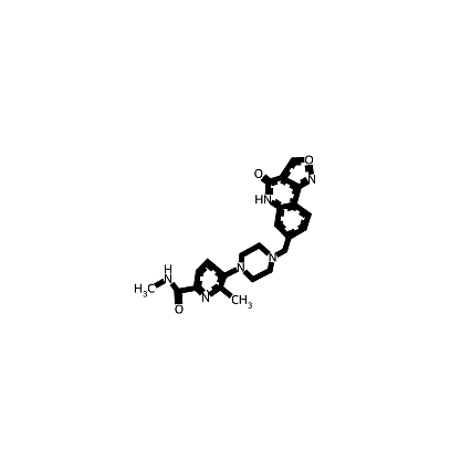 CNC(=O)c1ccc(N2CCN(Cc3ccc4c(c3)[nH]c(=O)c3conc34)CC2)c(C)n1